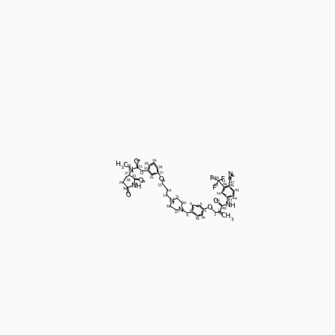 C[C@H](COc1ccc(CN2CCN(CCCOc3cccc(CC(=O)N(C)C4CCC(=O)NC4=O)c3)CC2)cc1)C(=O)Nc1ccc(C#N)c(C(F)(F)F)c1